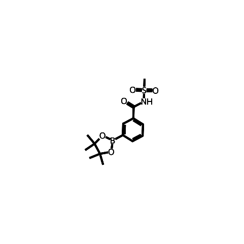 CC1(C)OB(c2cccc(C(=O)NS(C)(=O)=O)c2)OC1(C)C